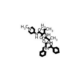 CC(C)[C@H](NC(=O)[C@H](C)NC(=O)[C@H](Cc1ccccc1)NC(=O)c1ccccc1)C(=O)C(=O)NC1CCN(C)CC1